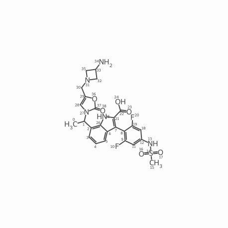 CC(c1cccc2c(-c3c(F)cc(NS(C)(=O)=O)cc3F)c(C(=O)O)[nH]c12)n1cc(CN2CC(N)C2)oc1=O